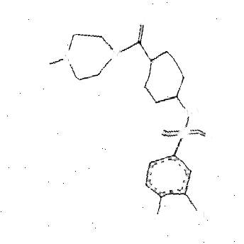 CC(C)N1CCN(C(=O)C2CCC(NS(=O)(=O)c3ccc(Cl)c(Cl)c3)CC2)CC1